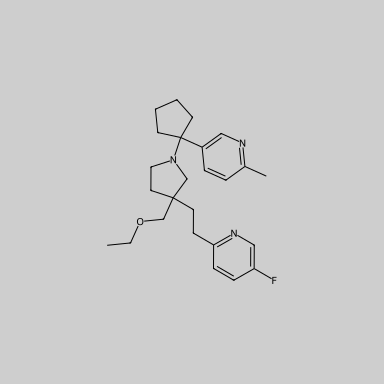 CCOCC1(CCc2ccc(F)cn2)CCN(C2(c3ccc(C)nc3)CCCC2)C1